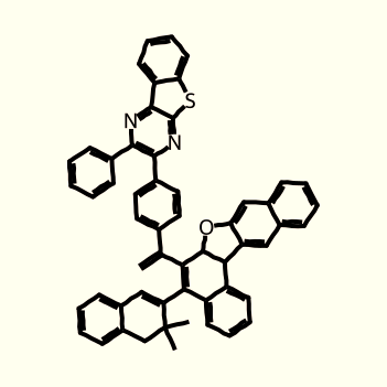 C=C(C1=C(C2=Cc3ccccc3CC2(C)C)c2ccccc2C2c3cc4ccccc4cc3OC12)c1ccc(-c2nc3sc4ccccc4c3nc2-c2ccccc2)cc1